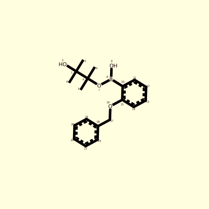 CC(C)(O)C(C)(C)OB(O)c1ccccc1OCc1ccccc1